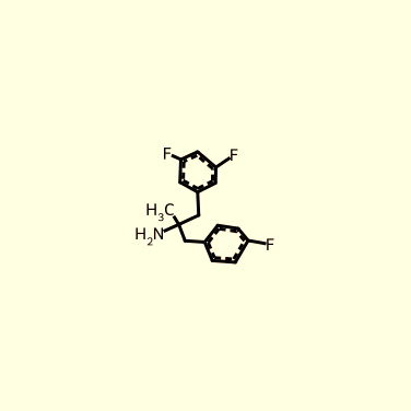 CC(N)(Cc1ccc(F)cc1)Cc1cc(F)cc(F)c1